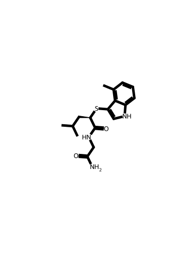 Cc1cccc2[nH]cc(S[C@H](CC(C)C)C(=O)NCC(N)=O)c12